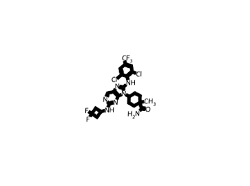 CC1(C(N)=O)CCC(n2c(Nc3c(Cl)cc(C(F)(F)F)cc3Cl)nc3cnc(NC4CC(F)(F)C4)nc32)CC1